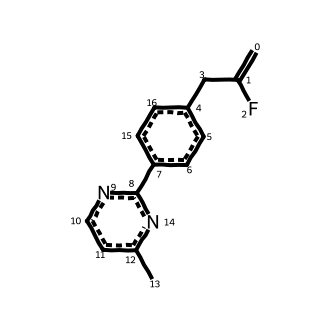 C=C(F)Cc1ccc(-c2nccc(C)n2)cc1